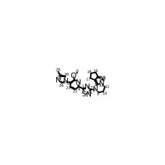 COc1nc(-c2nc(N3CCCn4nc5c(c43)CCC5)ns2)ccc1-n1cnc(C)c1